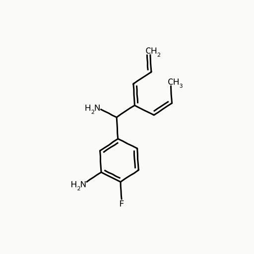 C=C/C=C(\C=C/C)C(N)c1ccc(F)c(N)c1